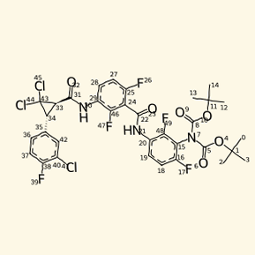 CC(C)(C)OC(=O)N(C(=O)OC(C)(C)C)c1c(F)ccc(NC(=O)c2c(F)ccc(NC(=O)[C@H]3[C@H](c4ccc(F)c(Cl)c4)C3(Cl)Cl)c2F)c1F